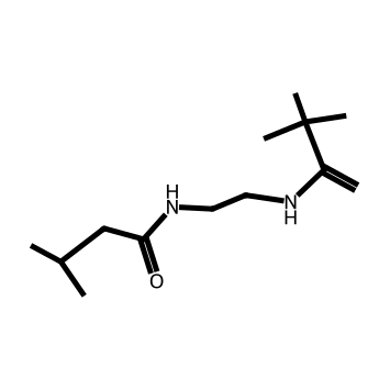 C=C(NCCNC(=O)CC(C)C)C(C)(C)C